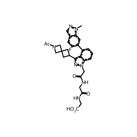 CC(=O)N1CC2(CC(c3nn(CC(=O)NCC(=O)NCC(=O)O)c4cccc(-c5cc6c(cnn6C)cc5F)c34)C2)C1